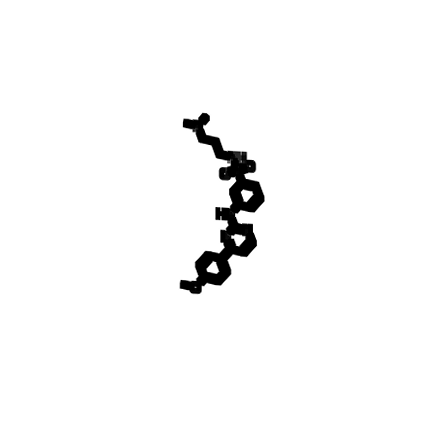 COc1ccc(-c2ccnc(Nc3cccc(S(=O)(=O)NCCCN(C)C)c3)n2)cc1